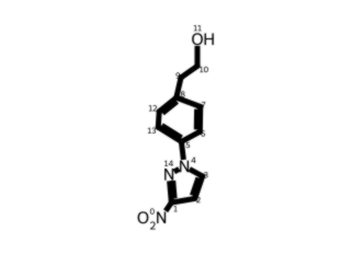 O=[N+]([O-])c1ccn(-c2ccc(CCO)cc2)n1